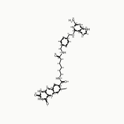 Cc1cc2nc3c(=O)[nH]c(=O)[nH]c3nc2cc1C(=O)NCCCCCC(=O)NCc1ccc(COc2nc(N)nc3[nH]cnc23)cc1